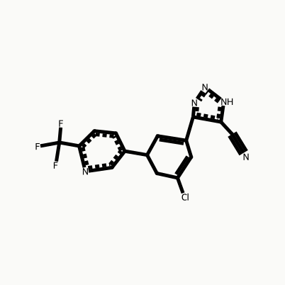 N#Cc1[nH]nnc1C1=CC(c2ccc(C(F)(F)F)nc2)CC(Cl)=C1